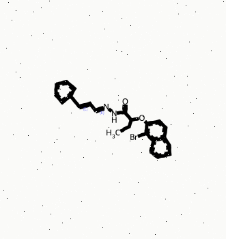 CCC(Oc1ccc2ccccc2c1Br)C(=O)N/N=C/C=C/c1ccccc1